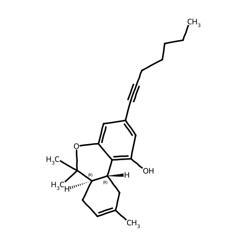 CCCCCC#Cc1cc(O)c2c(c1)OC(C)(C)[C@@H]1CC=C(C)C[C@@H]21